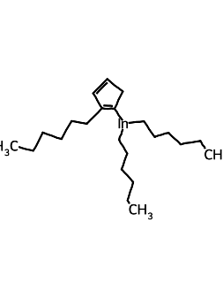 CCCCCCC1=[C]([In]([CH2]CCCCC)[CH2]CCCCC)CC=C1